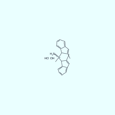 CC1=Cc2ccccc2[CH]1[Zr]([CH3])(=[SiH2])[CH]1C(C)=Cc2ccccc21.Cl.Cl